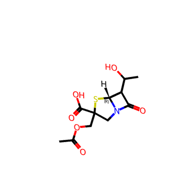 CC(=O)OCC1(C(=O)O)CN2C(=O)C(C(C)O)[C@H]2S1